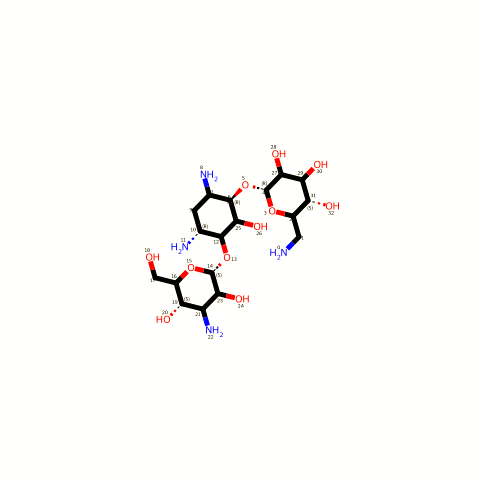 NCC1O[C@H](O[C@@H]2C(N)C[C@@H](N)C(O[C@H]3OC(CO)[C@@H](O)C(N)C3O)C2O)C(O)C(O)[C@@H]1O